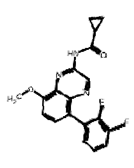 COc1ccc(-c2cccc(F)c2F)c2ncc(NC(=O)C3CC3)nc12